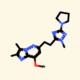 Cc1nc2c(OC(C)C)cc(CCc3nc(N4CCCC4)nn3C)nn2c1C